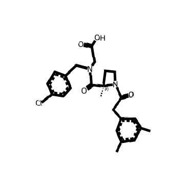 Cc1cc(C)cc(CC(=O)N2CC[C@]2(C)C(=O)N(CC(=O)O)Cc2ccc(Cl)cc2)c1